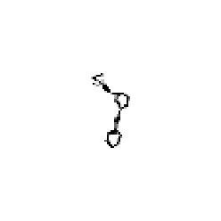 C[Si](C)(C)C#Cc1cccc(C#Cc2ccccc2)c1